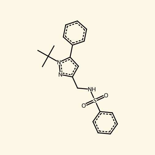 CC(C)(C)n1nc(CNS(=O)(=O)c2ccccc2)cc1-c1ccccc1